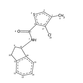 Cc1csc(C(=O)NC2CCc3ccccc32)c1Cl